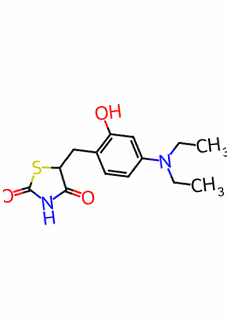 CCN(CC)c1ccc(CC2SC(=O)NC2=O)c(O)c1